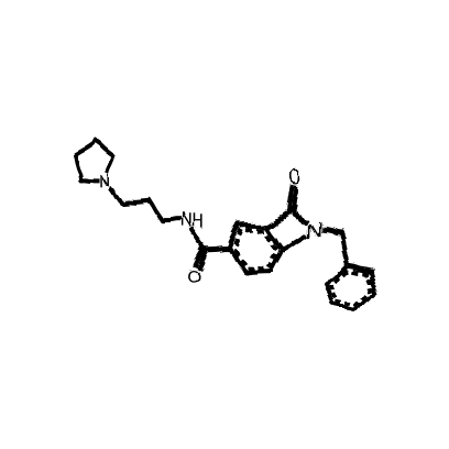 O=C(NCCCN1CCCC1)c1ccc2c(c1)C(=O)N2Cc1ccccc1